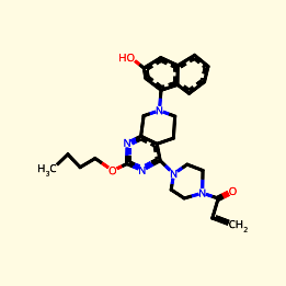 C=CC(=O)N1CCN(c2nc(OCCCC)nc3c2CCN(c2cc(O)cc4ccccc24)C3)CC1